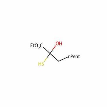 CCCCCCC(O)(S)C(=O)OCC